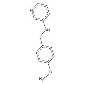 COc1ccc(CNc2cccnc2)cc1